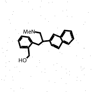 CNCC(Cc1ccccc1CO)c1ccc2ccccc2c1